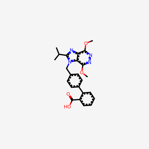 COc1nnc(OC)c2c1nc(C(C)C)n2Cc1ccc(-c2ccccc2C(=O)O)cc1